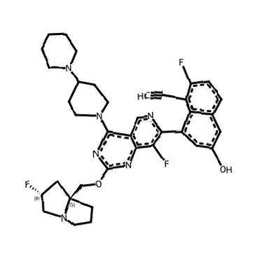 C#Cc1c(F)ccc2cc(O)cc(-c3ncc4c(N5CCC(N6CCCCC6)CC5)nc(OC[C@@]56CCCN5C[C@H](F)C6)nc4c3F)c12